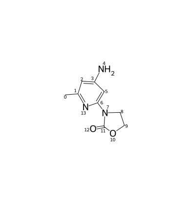 Cc1cc(N)cc(N2CCOC2=O)n1